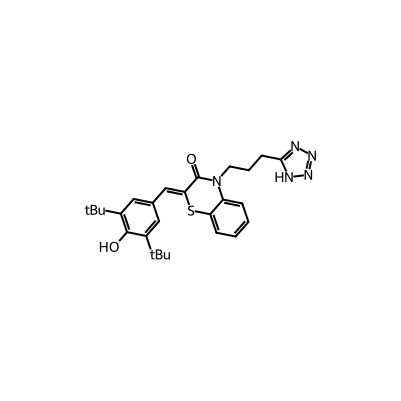 CC(C)(C)c1cc(/C=C2\Sc3ccccc3N(CCCc3nnn[nH]3)C2=O)cc(C(C)(C)C)c1O